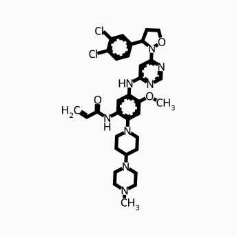 C=CC(=O)Nc1cc(Nc2cc(N3OCCC3c3ccc(Cl)c(Cl)c3)ncn2)c(OC)cc1N1CCC(N2CCN(C)CC2)CC1